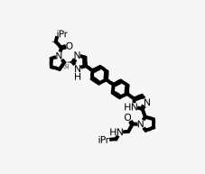 CC(C)[CH]C(=O)N1CCC[C@H]1c1ncc(-c2ccc(-c3ccc(-c4cnc(C5CCCN5C(=O)CNCC(C)C)[nH]4)cc3)cc2)[nH]1